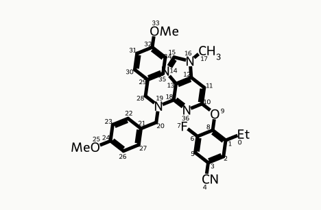 CCc1cc(C#N)cc(F)c1Oc1cc2c(ncn2C)c(N(Cc2ccc(OC)cc2)Cc2ccc(OC)cc2)n1